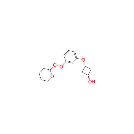 O[C@H]1C[C@H](Oc2cccc(OOC3CCCCO3)c2)C1